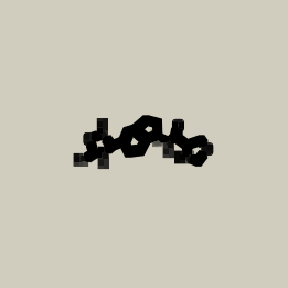 CCC1NC(c2ccc3c(c2)CC[C@H]3NC(=O)C2COCN2)NO1